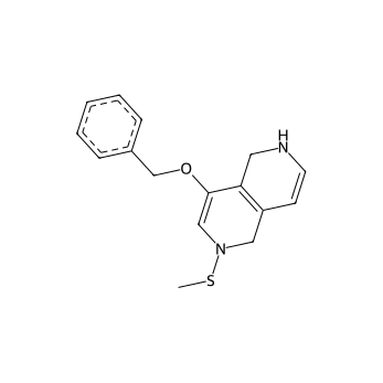 CSN1C=C(OCc2ccccc2)C2=C(C=CNC2)C1